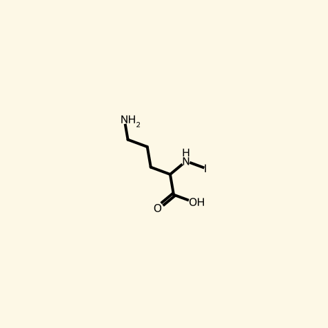 NCCCC(NI)C(=O)O